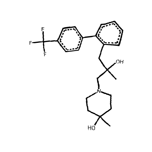 CC1(O)CCN(CC(C)(O)Cc2ccccc2-c2ccc(C(F)(F)F)cc2)CC1